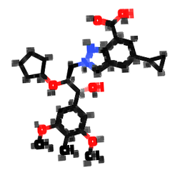 COc1cc([C@@H](O)[C@H](Cn2cc3cc(C4CC4)cc(C(=O)O)c3n2)OC2CCCC2)cc(OC)c1C